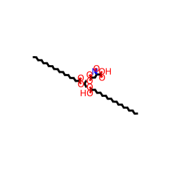 CCCCCCCCCCCCCCCCCC(=O)OC(COC(=O)CC(N=O)C(=O)O)COC(O)CCCCCCCCCCCCCCCCC